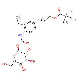 CCc1cc(/C=C/COC(=O)C(C)(C)C)ccc1NC(=O)O[C@@H]1O[C@H](CO)[C@H](O)[C@H](O)[C@H]1O